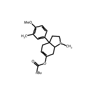 CCCCC(=O)OC1=CCC2(c3ccc(OC)c(C)c3)CCN(C)C2C1